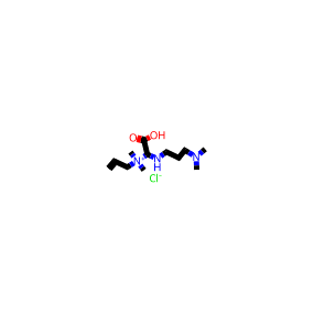 C=CC[N+](C)(C)C(NCCCN(C)C)C(=O)O.[Cl-]